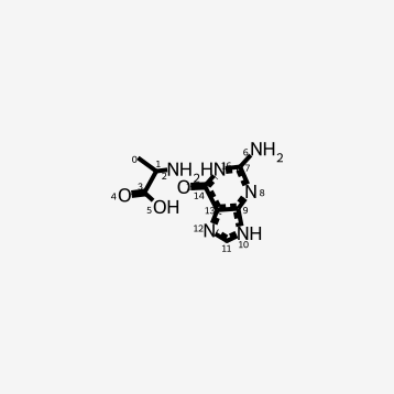 CC(N)C(=O)O.Nc1nc2[nH]cnc2c(=O)[nH]1